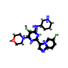 Fc1ccc2ncc(-c3nc(NC4CCCNC4)c(F)c(N4CCOCC4)n3)n2c1